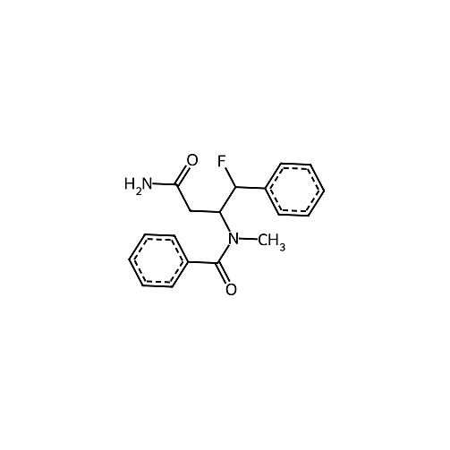 CN(C(=O)c1ccccc1)C(CC(N)=O)C(F)c1ccccc1